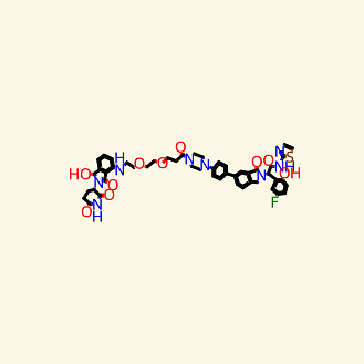 O=C1CCC(N2C(=O)c3c(NCCOCCOCCC(=O)N4CCN(c5ccc(-c6ccc7c(c6)C(=O)N(C(C(=O)Nc6nccs6)c6cc(F)ccc6O)C7)cc5)CC4)cccc3C2O)C(=O)N1